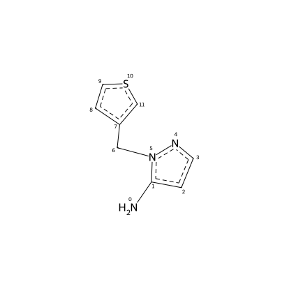 Nc1ccnn1Cc1ccsc1